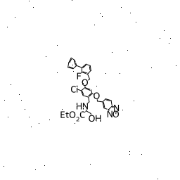 CCOC(=O)[C@@H](CO)NCc1cc(Cl)c(OCc2cccc(-c3ccccc3)c2F)cc1OCc1ccc2nonc2c1